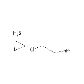 C1CC1.CCCCCCl.S